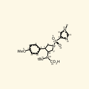 COc1ccc(C2CN(S(=O)(=O)c3cn(C)cn3)CC2N(C(=O)O)C(C)(C)C)cc1